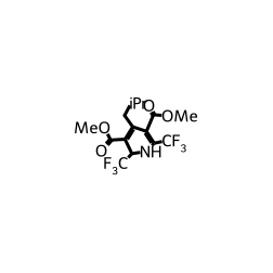 COC(=O)C1=C(C(F)(F)F)NC(C(F)(F)F)C(C(=O)OC)=C1CC(C)C